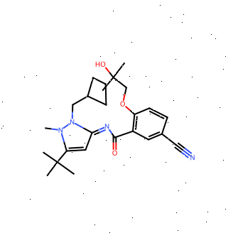 Cn1c(C(C)(C)C)c/c(=N\C(=O)c2cc(C#N)ccc2OCC(C)(C)O)n1CC1CCC1